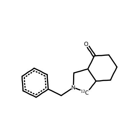 O=C1CCCC2[12CH2]N(Cc3ccccc3)CC12